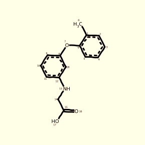 Cc1ccccc1Oc1cccc(NCC(=O)O)c1